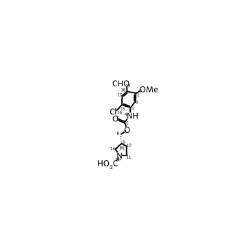 COc1cc(NC(=O)OC[C@@H]2CCN(C(=O)O)C2)c(Cl)cc1C=O